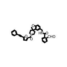 O=Cc1ccccc1C(=O)NCc1ccc2c(c1)C1(CCN(C(=O)c3ccc(C#Cc4ccccc4)o3)CC1)CO2